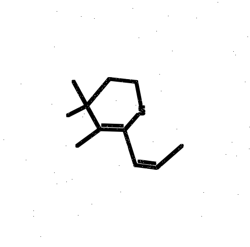 C/C=C\C1=C(C)C(C)(C)CCS1